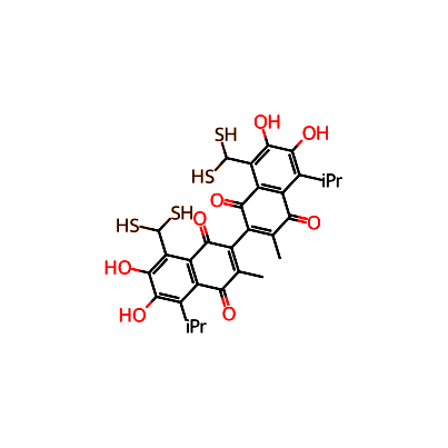 CC1=C(C2=C(C)C(=O)c3c(c(C(S)S)c(O)c(O)c3C(C)C)C2=O)C(=O)c2c(c(C(C)C)c(O)c(O)c2C(S)S)C1=O